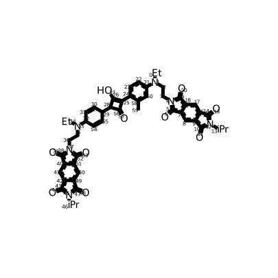 CCN(CCn1c(=O)c2cc3c(=O)n(C(C)C)c(=O)c3cc2c1=O)c1ccc(C2=C(O)C(C3C=CC(N(CC)CCn4c(=O)c5cc6c(=O)n(C(C)C)c(=O)c6cc5c4=O)C=C3)C2=O)c(C)c1